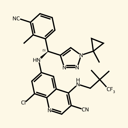 Cc1c(C#N)cccc1[C@H](Nc1cc(Cl)c2ncc(C#N)c(NCC(C)(C)C(F)(F)F)c2c1)c1cn(C2(C)CC2)nn1